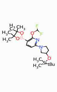 CC1(C)OB(c2ccc(N3CCC(O[Si](C)(C)C(C)(C)C)C3)nc2OC(F)F)OC1(C)C